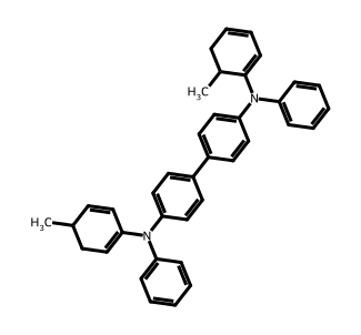 CC1C=CC(N(c2ccccc2)c2ccc(-c3ccc(N(C4=CC=CCC4C)c4ccccc4)cc3)cc2)=CC1